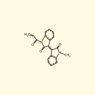 C=CC(=O)N1C(=O)/C(=C2/C(=O)N(C)c3ccccc32)c2ccccc21